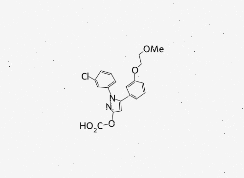 COCCOc1cccc(-c2cc(OC(=O)O)nn2-c2cccc(Cl)c2)c1